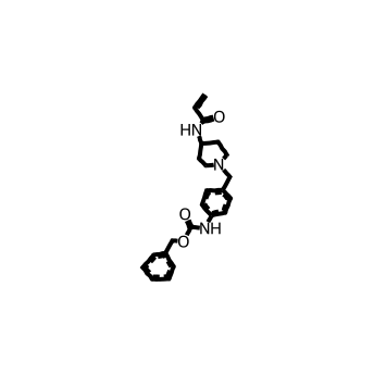 C=CC(=O)NC1CCN(Cc2ccc(NC(=O)OCc3ccccc3)cc2)CC1